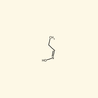 CC/[C]=N\O